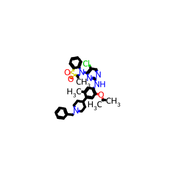 Cc1cc(Nc2ncc(Cl)c(N3c4ccccc4S(=O)(=O)C3C)n2)c(OC(C)C)cc1C1CCN(Cc2ccccc2)CC1